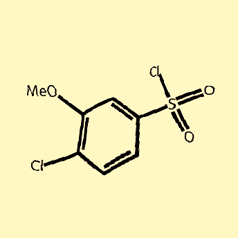 COc1cc(S(=O)(=O)Cl)ccc1Cl